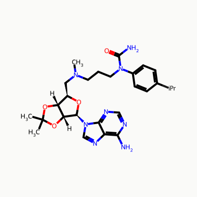 CC(C)c1ccc(N(CCCN(C)C[C@H]2O[C@@H](n3cnc4c(N)ncnc43)[C@@H]3OC(C)(C)O[C@@H]32)C(N)=O)cc1